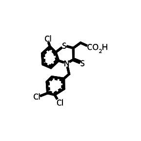 O=C(O)CC1Sc2c(Cl)cccc2N(Cc2ccc(Cl)c(Cl)c2)C1=S